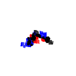 CCN(C[C@@H]1C[C@@H](O)[C@H](n2cnc3c(N)ncnc32)O1)C(=O)CCNC(=O)Nc1ccc(C(C)(C)C)cc1